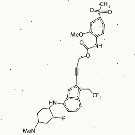 CNC1CCC(Nc2cccc3c2cc(C#CCOC(=O)Nc2ccc(S(C)(=O)=O)cc2OC)n3CC(F)(F)F)C(F)C1